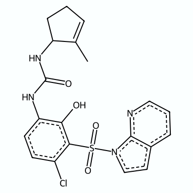 CC1=CCCC1NC(=O)Nc1ccc(Cl)c(S(=O)(=O)n2ccc3cccnc32)c1O